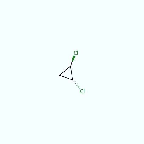 Cl[C@@H]1C[C@H]1Cl